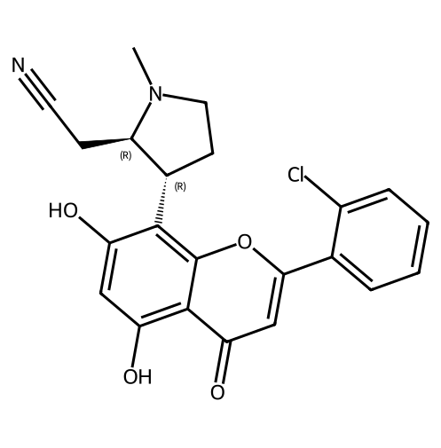 CN1CC[C@H](c2c(O)cc(O)c3c(=O)cc(-c4ccccc4Cl)oc23)[C@H]1CC#N